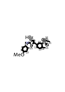 Br.COc1ccc(/N=c2/scc(-c3ccc(C)c(S(=O)(=O)N(C)C)c3)n2C)cc1